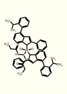 CCC(=O)N[B](NC(=O)CC)[Hf]([Cl])([Cl])([CH]1C(c2ccccc2)=Cc2c(-c3ccccc3C(C)C)cccc21)[CH]1C(c2ccccc2)=Cc2c(-c3ccccc3C(C)C)cccc21